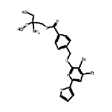 CCc1cc(-c2cccs2)nc(OCc2ccc(C(=O)OCC(N)(CO)CO)cc2)c1C(C)=O